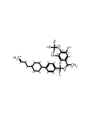 C=CCCC1CCC(c2ccc(C(F)(F)OC(C)c3cc(F)c(OC(F)(F)F)c(F)c3)cc2)CC1